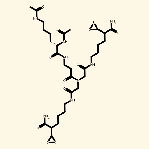 CC(=O)NCCCC[C@H](NC(C)=O)C(=O)NCCC(=O)N(CC(=O)NCCCCC(C(N)=O)C1SS1)CC(=O)NCCCCC(C(N)=O)C1SS1